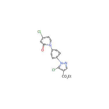 CCOC(=O)c1cnn(-c2ccc(-n3ccc(Cl)cc3=O)cc2)c1Cl